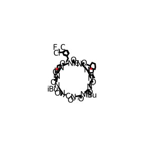 CC[C@H](C)[C@@H]1NC(=O)[C@H](C)N(C)C(=O)C[C@@H](C)N(C)C(=O)[C@H]([C@@H](C)CC)N(C)C(=O)C(C)(C)N(C)C(=O)[C@@H]2CCCN2C(=O)[C@H](CCc2ccc(C(F)(F)F)c(Cl)c2)NC(=O)CN(C)C(=O)[C@H](CC2CCCCC2)N(C)C(=O)[C@@H]2CCN2C(=O)[C@H](C)N(C)C1=O